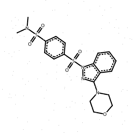 CN(C)S(=O)(=O)c1ccc(S(=O)(=O)n2nc(N3CCOCC3)c3ccccc32)cc1